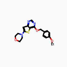 CCOc1ccc(COc2ncnc3cc(N4CCOCC4)sc23)cc1